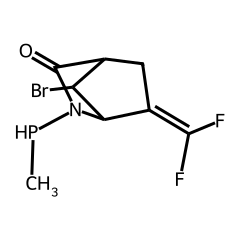 CPN1C(=O)C2CC(=C(F)F)C1C2Br